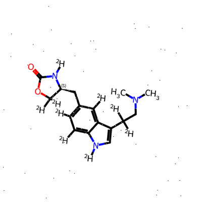 [2H]c1c(C[C@@H]2N([2H])C(=O)OC2([2H])[2H])c([2H])c2c(C([2H])([2H])CN(C)C)cn([2H])c2c1[2H]